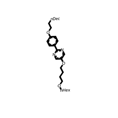 CCCCCCCCCCCCOc1ccc(-c2ncc(OCCCCOCCCCCC)cn2)cc1